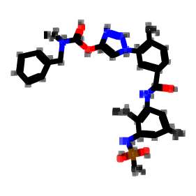 COc1c(NC(=O)c2ccc(C)c(-n3cc(OC(=O)N(C)Cc4ccccc4)nn3)c2)cc(C(C)(C)C)cc1NS(C)(=O)=O